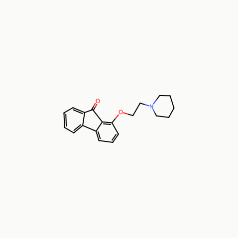 O=C1c2ccccc2-c2cccc(OCCN3CCCCC3)c21